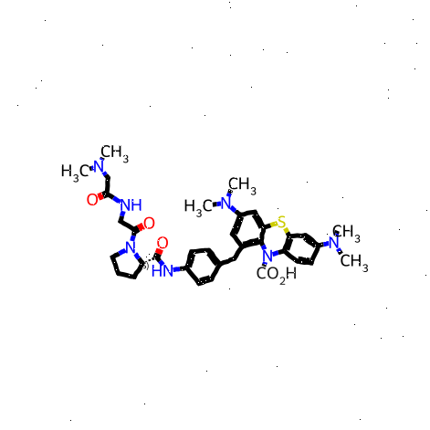 CN(C)CC(=O)NCC(=O)N1CCC[C@H]1C(=O)Nc1ccc(Cc2cc(N(C)C)cc3c2N(C(=O)O)c2ccc(N(C)C)cc2S3)cc1